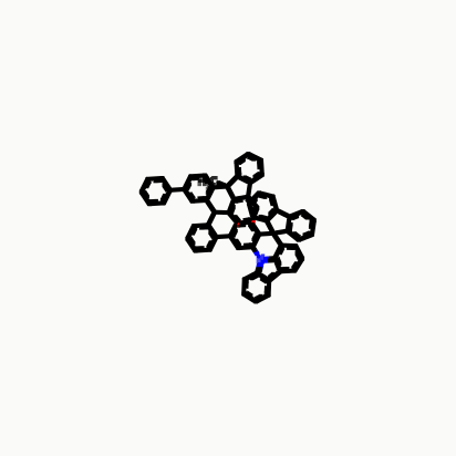 CC12c3ccccc3-c3cccc(c31)C(c1ccccc1-c1ccc3c(c1)-n1c4ccccc4c4cccc(c41)C31c3ccccc3-c3ccccc31)c1cc(-c3ccccc3)ccc12